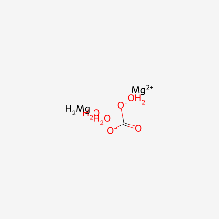 O.O.O.O=C([O-])[O-].[Mg+2].[MgH2]